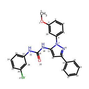 COc1cccc(-n2nc(-c3ccccc3)cc2NC(=O)Nc2cccc(Br)c2)c1